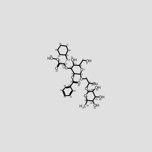 CCC(C)C(COC1OC(CO)C(O)C(O[C@@H](CC2CCCCC2)C(=O)OO)C1OC(=O)c1ccccc1)OC1OC(C)C(O)C(O)C1O